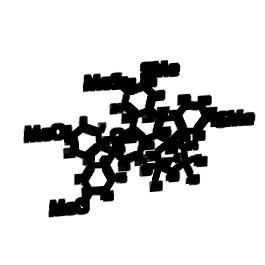 COc1ccc(C2(c3ccc(OC)cc3)C=Cc3c4c(c5cc(SC)c(SC)cc5c3O2)-c2ccc(SC)cc2C42CC(C)(C)CC(C)(C)C2)cc1